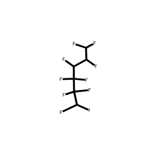 FC(F)C(F)C(F)C(F)(F)C(F)(F)C(F)I